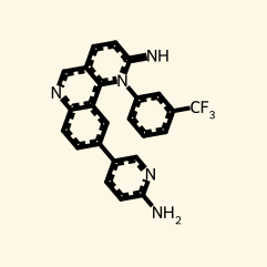 N=c1ccc2cnc3ccc(-c4ccc(N)nc4)cc3c2n1-c1cccc(C(F)(F)F)c1